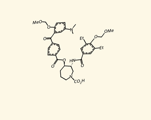 CCc1cc(C(=O)N[C@@H]2CN(C(=O)O)CCC[C@H]2OC(=O)c2ccc(C(=O)c3cc(N(C)C)ccc3OCOC)cc2)cc(CC)c1OCOC